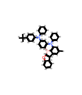 Cc1cc2c3c(c1)N(c1ccccc1)c1cc(N(c4ccccc4)c4ccc(C(C)(C)C)cc4)ccc1B3c1oc3ccccc3c1-2